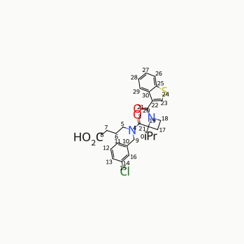 CC(C)C1(C(=O)N(CCCC(=O)O)Cc2cccc(Cl)c2)CCN1C(=O)c1csc2ccccc12